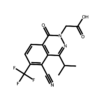 CC(C)c1nn(CC(=O)O)c(=O)c2ccc(C(F)(F)F)c(C#N)c12